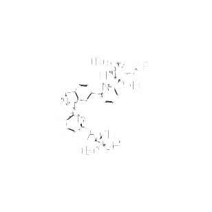 CC(C)(C)[S@@+]([O-])NC(O)(CCC(F)(F)F)c1cccc(-c2ccc3cnn(-c4cccc(CO[Si](C)(C)C(C)(C)C)n4)c3c2)n1